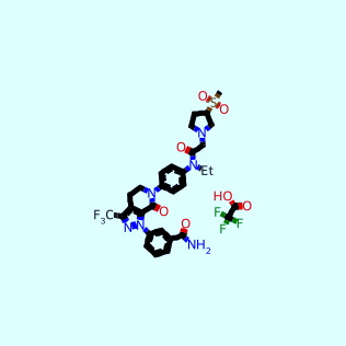 CCN(C(=O)CN1CCC(S(C)(=O)=O)C1)c1ccc(N2CCc3c(C(F)(F)F)nn(-c4cccc(C(N)=O)c4)c3C2=O)cc1.O=C(O)C(F)(F)F